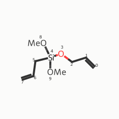 C=CCO[Si](CC=C)(OC)OC